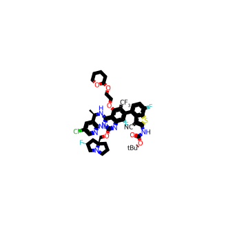 C[C@@H](Nc1nc(OC[C@@]23CCCN2C[C@H](F)C3)nc2c(F)c(-c3ccc(F)c4sc(NC(=O)OC(C)(C)C)c(C#N)c34)c(C(F)(F)F)c(OCCOC3CCCCO3)c12)c1cc(Cl)cnc1N